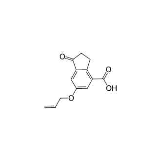 C=CCOc1cc(C(=O)O)c2c(c1)C(=O)CC2